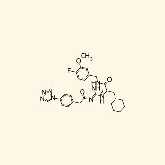 COc1cc(CNC(=O)C(CC2CCCCC2)NC(N)=NC(=O)Cc2ccc(-n3cnnn3)cc2)ccc1F